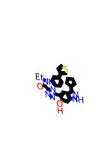 CCNC(=O)c1nnc(-c2cc3c(C4CCCC4)n[nH]c3cc2O)n1-c1ccc(-c2ccsc2)cc1